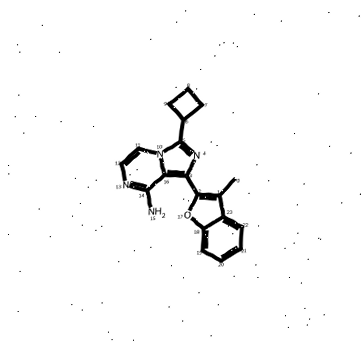 Cc1c(-c2nc(C3CCC3)n3ccnc(N)c23)oc2ccccc12